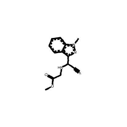 COC(=O)CNC(C#N)c1nn(C)c2ccccc12